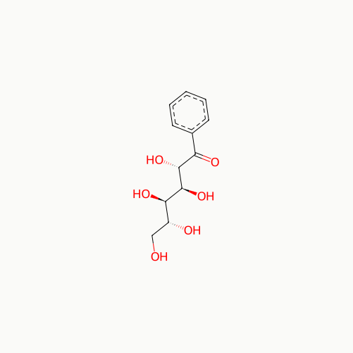 O=C(c1ccccc1)[C@@H](O)[C@@H](O)[C@H](O)[C@H](O)CO